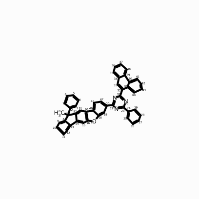 CC1(c2ccccc2)c2ccccc2-c2cc3oc4cc(-c5nc(-c6ccccc6)nc(-c6cc7ccccc7c7ccccc67)n5)ccc4c3cc21